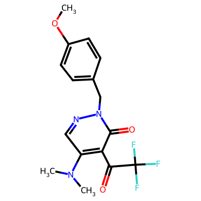 COc1ccc(Cn2ncc(N(C)C)c(C(=O)C(F)(F)F)c2=O)cc1